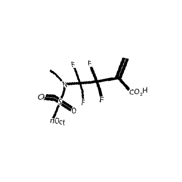 C=C(C(=O)O)C(F)(F)C(F)(F)N(C)S(=O)(=O)CCCCCCCC